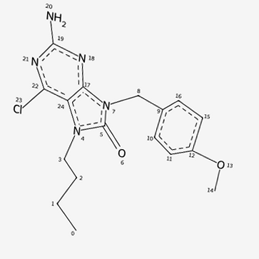 CCCCn1c(=O)n(Cc2ccc(OC)cc2)c2nc(N)nc(Cl)c21